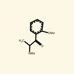 CNC(C)C(=O)c1ccccc1OC